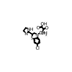 CN1CC(C2=NCCN2)Sc2cc(Cl)ccc21.O=C(O)C(=O)O